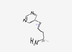 C[C@H](N)C/C=C/c1cncnc1